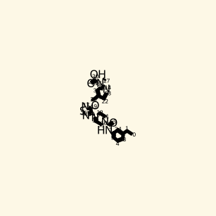 CCc1cccc(NC(=O)N2CCN(c3nsnc3OCc3ccnc(N(C)C(=O)O)c3)CC2)c1